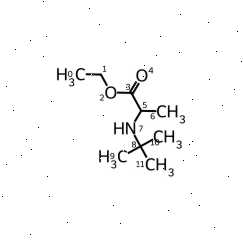 CCOC(=O)C(C)NC(C)(C)C